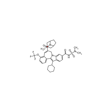 CN1CC2CCC(C1)N2C(=O)C1=Cc2c(OC(F)(F)F)cccc2-c2c(C3CCCCC3)c3ccc(C(=O)NS(=O)(=O)N(C)C)cc3n2C1